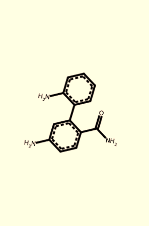 NC(=O)c1ccc(N)cc1-c1ccccc1N